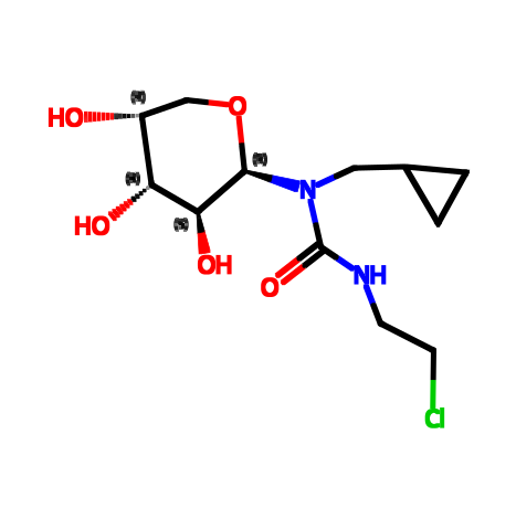 O=C(NCCCl)N(CC1CC1)[C@@H]1OC[C@@H](O)[C@@H](O)[C@@H]1O